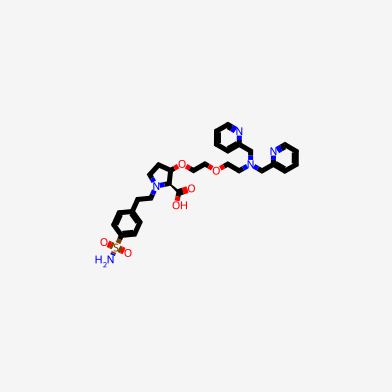 NS(=O)(=O)c1ccc(CCN2CCC(OCCOCCN(Cc3ccccn3)Cc3ccccn3)[C@H]2C(=O)O)cc1